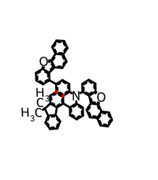 CC1(C)c2ccccc2-c2c(-c3ccccc3N(c3ccc(-c4cccc5oc6c7ccccc7ccc6c45)cc3)c3cccc4oc5c6ccccc6ccc5c34)cccc21